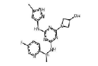 Cc1cc(Nc2nc(N[C@@H](C)c3ccc(F)cn3)nc(N3CC(O)C3)n2)n[nH]1